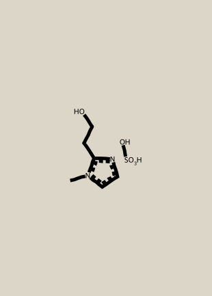 Cn1ccnc1CCO.O=S(=O)(O)O